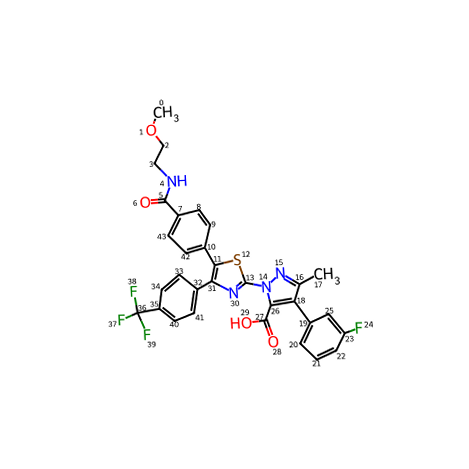 COCCNC(=O)c1ccc(-c2sc(-n3nc(C)c(-c4cccc(F)c4)c3C(=O)O)nc2-c2ccc(C(F)(F)F)cc2)cc1